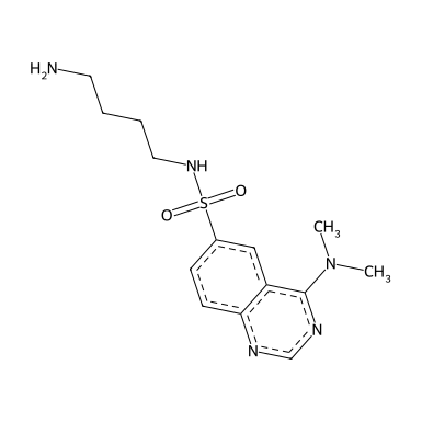 CN(C)c1ncnc2ccc(S(=O)(=O)NCCCCN)cc12